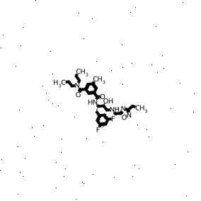 CCCN(CCC)C(=O)c1cc(C)cc(C(=O)N[C@@H](Cc2cc(F)cc(F)c2)[C@H](O)CNCc2nc(CC)no2)c1